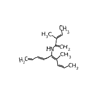 C=C/C=C/C(NC(=C)/C(C)=C/C)=C(C)\C=C/C